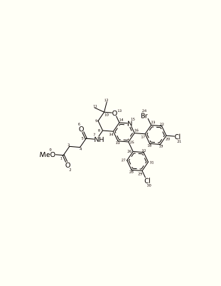 COC(=O)CCC(=O)NC1CC(C)(C)Oc2nc(-c3ccc(Cl)cc3Br)c(-c3ccc(Cl)cc3)cc21